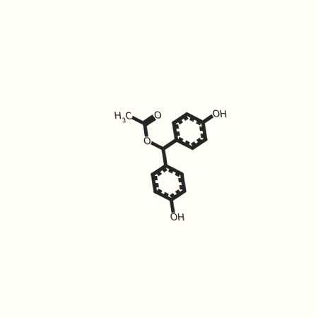 CC(=O)OC(c1ccc(O)cc1)c1ccc(O)cc1